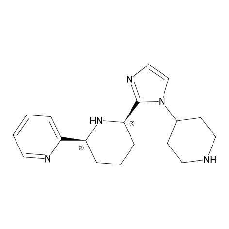 c1ccc([C@@H]2CCC[C@H](c3nccn3C3CCNCC3)N2)nc1